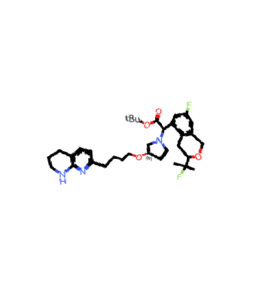 CC(C)(C)OC(=O)C(c1cc(F)cc2c1CC(C(C)(C)F)OC2)N1CC[C@@H](OCCCCc2ccc3c(n2)NCCC3)C1